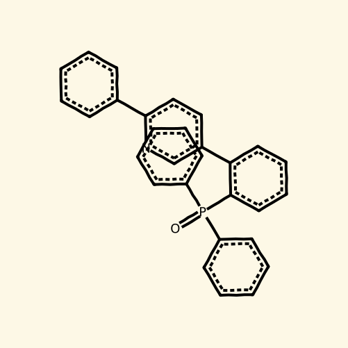 O=P(c1ccccc1)(c1ccccc1)c1ccccc1-c1ccc(-c2ccccc2)nc1